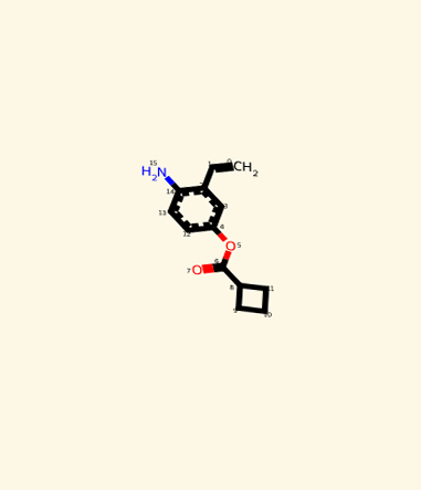 C=Cc1cc(OC(=O)C2CCC2)ccc1N